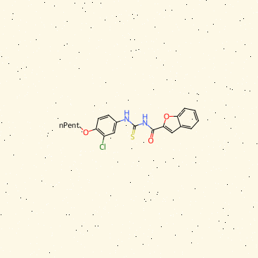 CCCCCOc1ccc(NC(=S)NC(=O)c2cc3ccccc3o2)cc1Cl